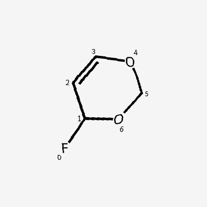 FC1C=COCO1